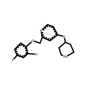 Fc1ccc(OCc2cc(OC3CCNCC3)ccn2)c(Cl)c1